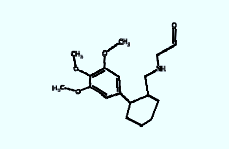 COc1cc(C2CCCCC2CNCC=O)cc(OC)c1OC